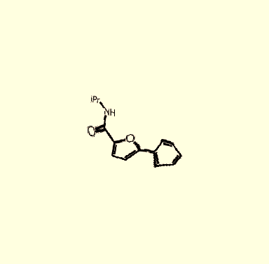 CC(C)NC(=O)c1ccc(-c2ccccc2)o1